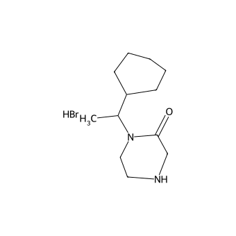 Br.CC(C1CCCCC1)N1CCNCC1=O